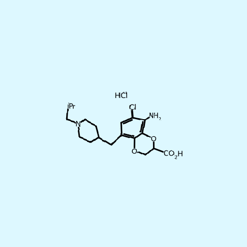 CC(C)CN1CCC(Cc2cc(Cl)c(N)c3c2OCC(C(=O)O)O3)CC1.Cl